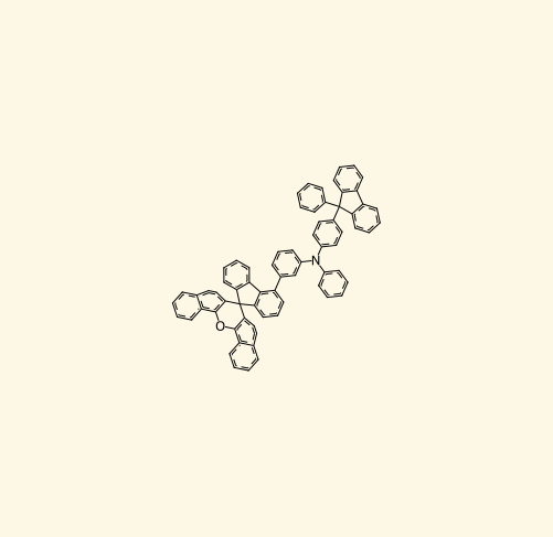 c1ccc(N(c2ccc(C3(c4ccccc4)c4ccccc4-c4ccccc43)cc2)c2cccc(-c3cccc4c3-c3ccccc3C43c4ccc5ccccc5c4Oc4c3ccc3ccccc43)c2)cc1